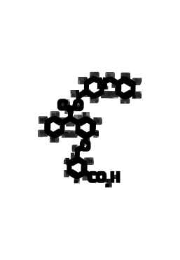 O=C(O)c1cccc(COc2cccc(C(C(=O)OCC3CCN(Cc4ccccc4)CC3)c3ccccc3)c2)c1